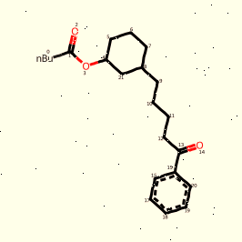 CCCCC(=O)OC1CCCC(CCCCC(=O)c2ccccc2)C1